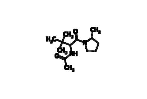 CC(=O)NC(C(=O)N1CCCC1C)C(C)(C)C